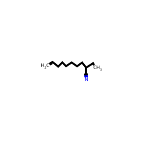 C=CCCCCCCC(C#N)CC